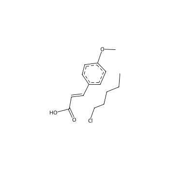 CCCCCCl.COc1ccc(C=CC(=O)O)cc1